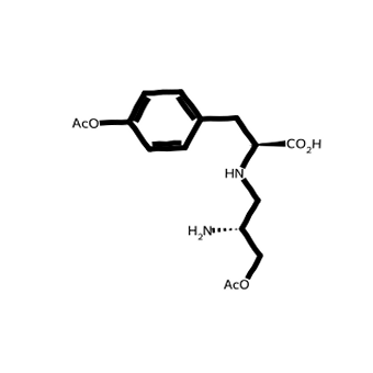 CC(=O)OC[C@H](N)CN[C@@H](Cc1ccc(OC(C)=O)cc1)C(=O)O